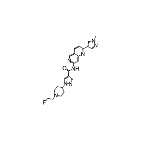 Cn1cc(-c2ccc3cnc(NC(=O)c4cnn(C5CCN(CCF)CC5)c4)cc3n2)cn1